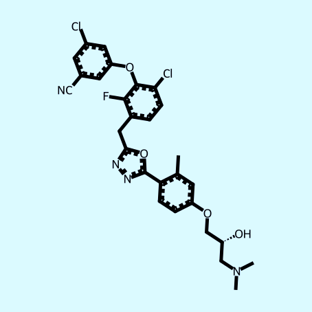 Cc1cc(OC[C@H](O)CN(C)C)ccc1-c1nnc(Cc2ccc(Cl)c(Oc3cc(Cl)cc(C#N)c3)c2F)o1